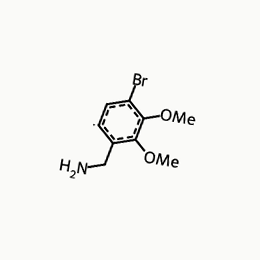 COc1c(CN)[c]cc(Br)c1OC